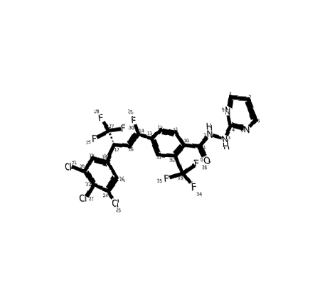 O=C(NNc1ncccn1)c1ccc(/C(F)=C/[C@H](c2cc(Cl)c(Cl)c(Cl)c2)C(F)(F)F)cc1C(F)(F)F